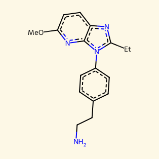 CCc1nc2ccc(OC)nc2n1-c1ccc(CCN)cc1